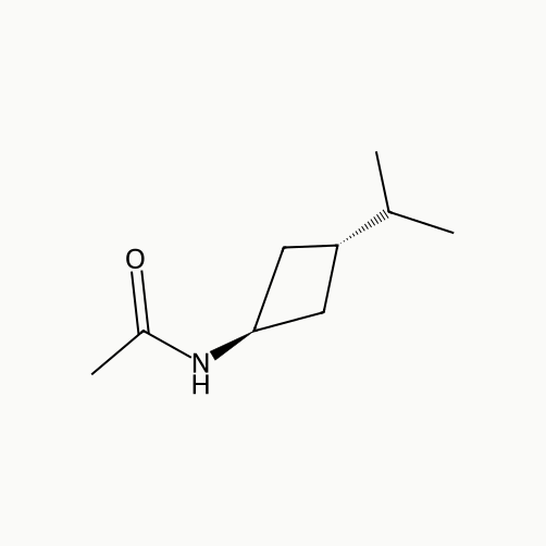 CC(=O)N[C@H]1C[C@H](C(C)C)C1